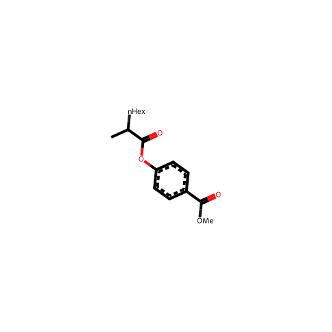 CCCCCCC(C)C(=O)Oc1ccc(C(=O)OC)cc1